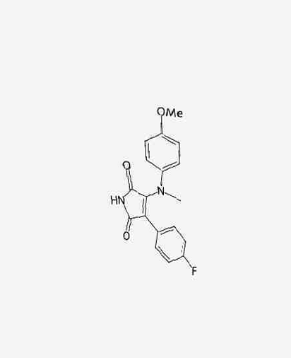 COc1ccc(N(C)C2=C(c3ccc(F)cc3)C(=O)NC2=O)cc1